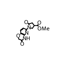 COC(=O)C1CC(=O)N(c2ccc3c(n2)NC(=O)CO3)C1